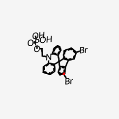 O=P(O)(O)OCCN1c2ccccc2C2(c3ccc(Br)cc3-c3cc(Br)ccc32)c2ccccc21